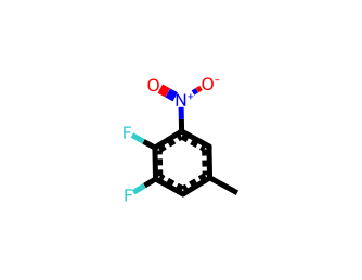 Cc1cc(F)c(F)c([N+](=O)[O-])c1